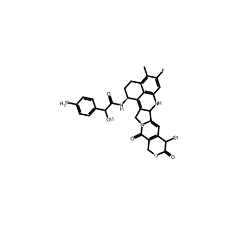 CCC1C(=O)OCc2c1cc1n(c2=O)CC2=C3c4c(cc(F)c(C)c4CC[C@@H]3NC(=O)C(O)c3ccc(N)cc3)NC21